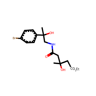 CCOC(=O)CC(C)(O)CC(=O)NCC(C)(O)c1ccc(Br)cc1